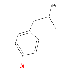 CC(C)C(C)Cc1ccc(O)cc1